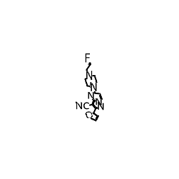 N#Cc1c(-c2ccco2)nn2ccc(N3CCN(CCF)CC3)nc12